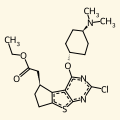 CCOC(=O)C[C@@H]1CCc2sc3nc(Cl)nc(O[C@H]4CC[C@H](N(C)C)CC4)c3c21